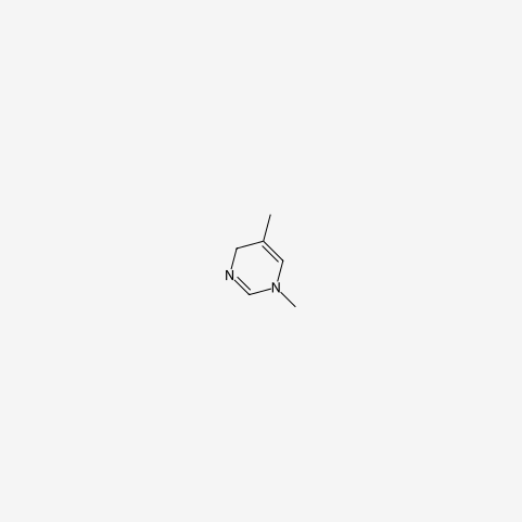 CC1=CN(C)C=NC1